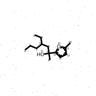 CCCC(CC)CC(C)(O)c1ccc(C)o1